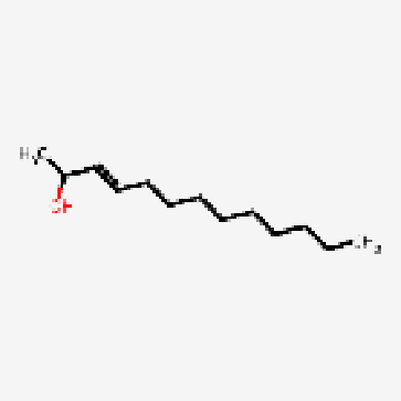 CCCCCCCCCC=CC(C)O